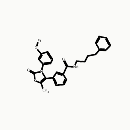 CCOc1cccc(-n2c(-c3cccc(C(=O)NCCCCc4ccccc4)c3)c(C)sc2=O)c1